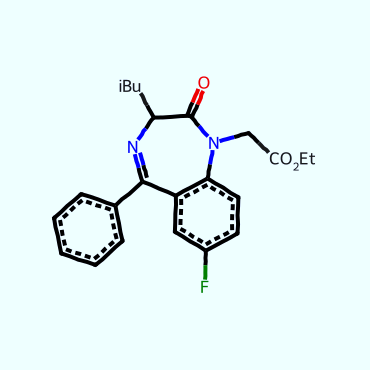 CCOC(=O)CN1C(=O)C(C(C)CC)N=C(c2ccccc2)c2cc(F)ccc21